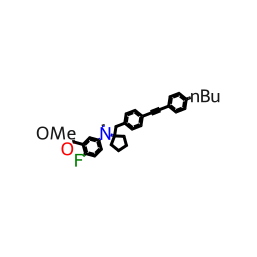 CCCCc1ccc(C#Cc2ccc(CC3(N(C)c4ccc(F)c(C(=O)OC)c4)CCCC3)cc2)cc1